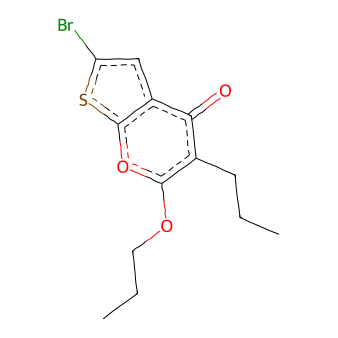 CCCOc1oc2sc(Br)cc2c(=O)c1CCC